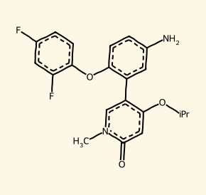 CC(C)Oc1cc(=O)n(C)cc1-c1cc(N)ccc1Oc1ccc(F)cc1F